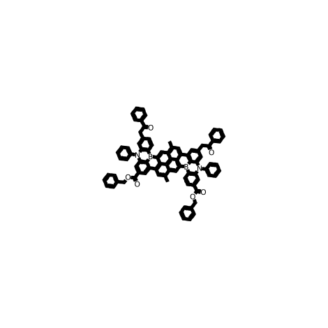 Cc1cc2c3c(cc4c(C)cc5c6c(cc1c3c46)B1c3ccc(CC(=O)c4ccccc4)cc3N(c3ccccc3)c3cc(C(=O)OCc4ccccc4)cc-5c31)B1c3ccc(C(=O)OCc4ccccc4)cc3N(c3ccccc3)c3cc(CC(=O)c4ccccc4)cc-2c31